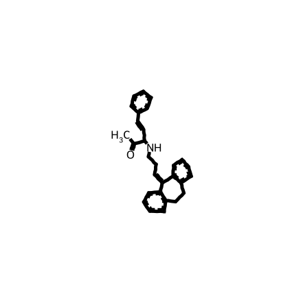 CC(=O)C(/C=C/c1ccccc1)NCCC=C1c2ccccc2CCc2ccccc21